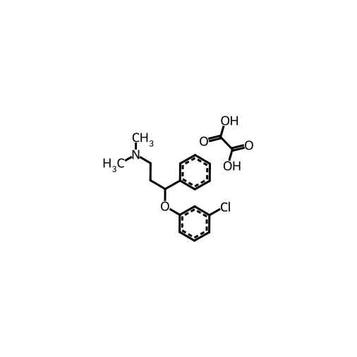 CN(C)CCC(Oc1cccc(Cl)c1)c1ccccc1.O=C(O)C(=O)O